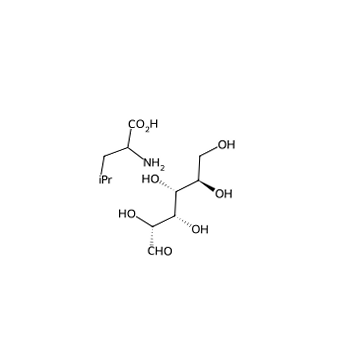 CC(C)CC(N)C(=O)O.O=C[C@H](O)[C@@H](O)[C@H](O)[C@H](O)CO